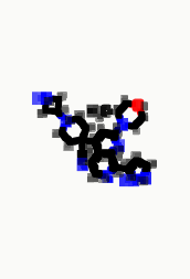 C[C@@H]1COCCN1c1cc(C2(C#N)CCN(C3CNC3)CC2)c2ccnc(-c3ccn[nH]3)c2n1